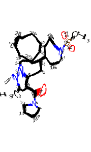 Cc1nn2c(c1C(=O)N1CCCC1)CC(C1CCN(S(C)(=O)=O)CC1)C1(CCCCCC1)C2